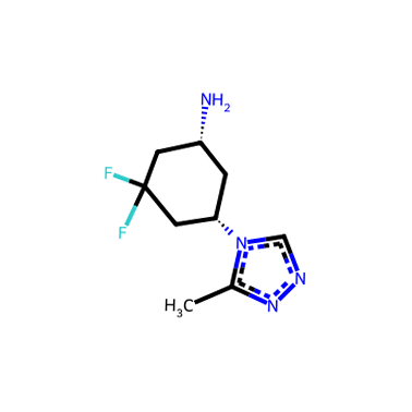 Cc1nncn1[C@H]1C[C@@H](N)CC(F)(F)C1